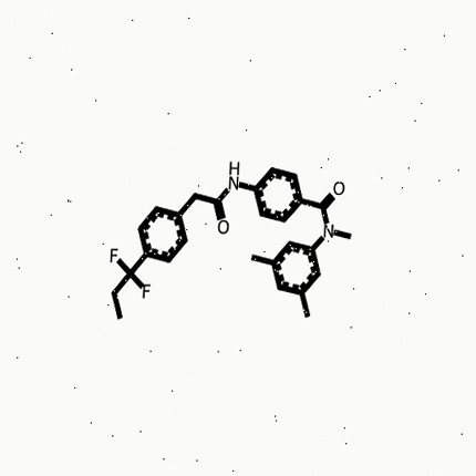 CCC(F)(F)c1ccc(CC(=O)Nc2ccc(C(=O)N(C)c3cc(C)cc(C)c3)cc2)cc1